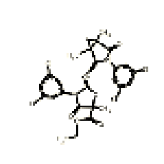 CC12CC1(C)C(=O)N(c1cc(Cl)cc(Cl)c1)C2=O.CCOC(=O)C1(C)OC(=O)N(c2cc(Cl)cc(Cl)c2)C1=O